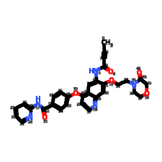 CC#CC(=O)Nc1cc2c(Oc3ccc(C(=O)Nc4ccccn4)cc3)ccnc2cc1OCCN1CCOCC1=O